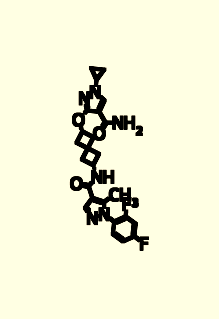 Cc1c(C(=O)N[C@H]2CC3(C2)C[C@H](Oc2nn(C4CC4)cc2C(N)=O)C3)cnn1-c1ccc(F)cc1F